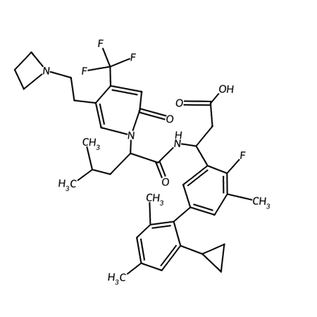 Cc1cc(C)c(-c2cc(C)c(F)c(C(CC(=O)O)NC(=O)C(CC(C)C)n3cc(CCN4CCC4)c(C(F)(F)F)cc3=O)c2)c(C2CC2)c1